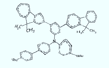 CC(C)(C)c1ccc(-c2ccc(N(c3ccc(C(C)(C)C)cc3)c3cc(-c4ccc5c(c4)C(C)(C)c4ccccc4-5)cc(-c4ccc5c(c4)C(C)(C)c4ccccc4-5)c3)cc2)cc1